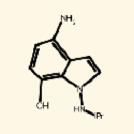 CC(C)Nn1ccc2c(N)ccc(O)c21